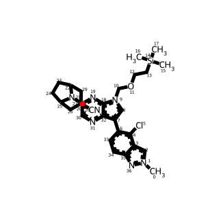 Cn1cc2c(Cl)c(-c3cn(COCC[Si](C)(C)C)c4nc(N5C6CCC5CC(C#N)C6)cnc34)ccc2n1